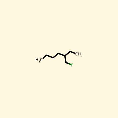 CCCCC(CC)CF